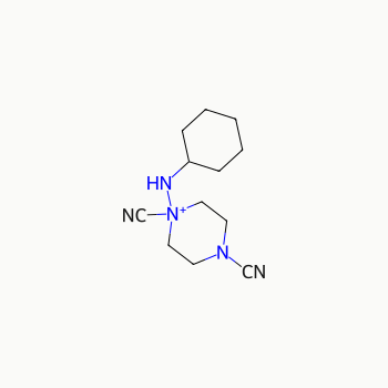 N#CN1CC[N+](C#N)(NC2CCCCC2)CC1